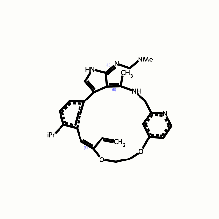 C=C/C1=C\c2cc(ccc2C(C)C)C2=CNC(=N/CNC)/C2=C(\C)NCc2cc(ccn2)OCCO1